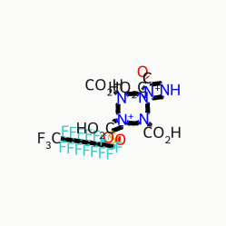 O=C=C1CNCC[N+]1(C(=O)O)N1CCN(CC(=O)O)CC[N+](CCS(=O)(=O)C(F)(F)C(F)(F)C(F)(F)C(F)(F)C(F)(F)C(F)(F)C(F)(F)C(F)(F)F)(CC(=O)O)CCN(CC(=O)O)CC1